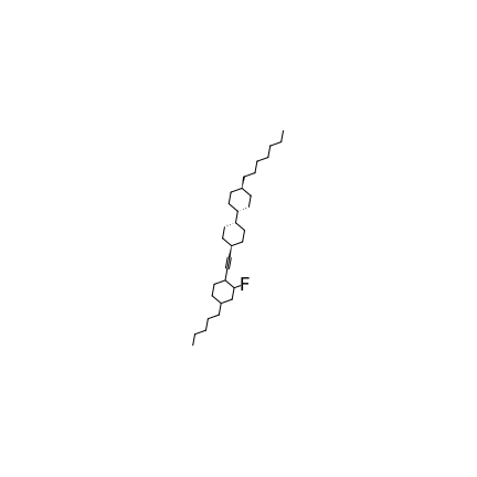 CCCCCCC[C@H]1CC[C@H]([C@H]2CC[C@H](C#CC3CCC(CCCCC)CC3F)CC2)CC1